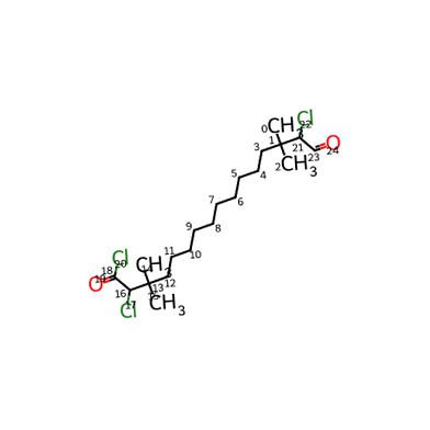 CC(C)(CCCCCCCCCCC(C)(C)C(Cl)C(=O)Cl)C(Cl)C=O